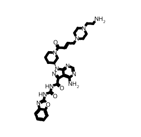 NCCN1CCN(CC=CC(=O)N2CCC[C@@H](n3nc(C(=O)NC(=O)Nc4nc5ccccc5o4)c4c(N)ncnc43)C2)CC1